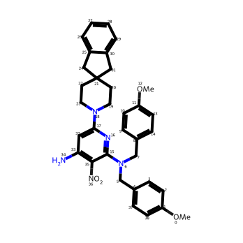 COc1ccc(CN(Cc2ccc(OC)cc2)c2nc(N3CCC4(CC3)Cc3ccccc3C4)cc(N)c2[N+](=O)[O-])cc1